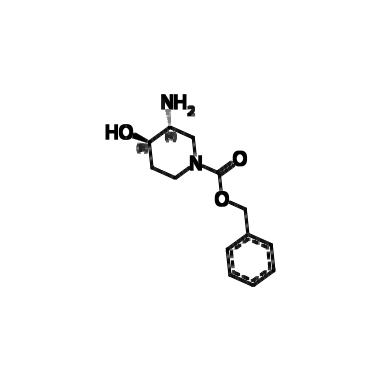 N[C@@H]1CN(C(=O)OCc2ccccc2)CC[C@H]1O